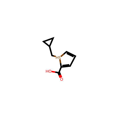 O=C(O)C1=CC=C[SH]1CC1CC1